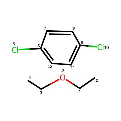 CCOCC.Clc1ccc(Cl)cc1